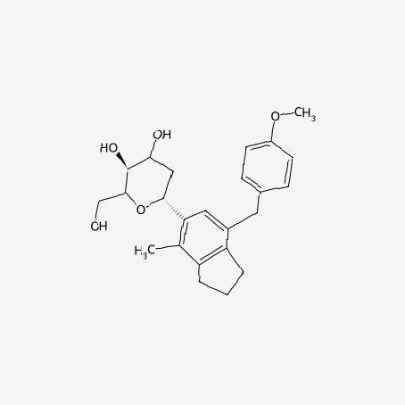 COc1ccc(Cc2cc([C@H]3CC(O)[C@H](O)C(CO)O3)c(C)c3c2CCC3)cc1